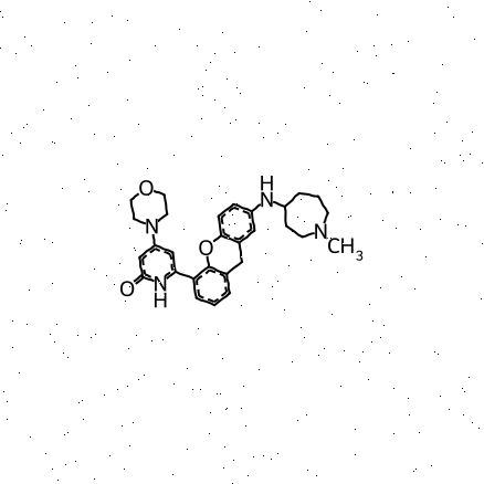 CN1CCCC(Nc2ccc3c(c2)Cc2cccc(-c4cc(N5CCOCC5)cc(=O)[nH]4)c2O3)CC1